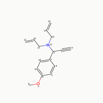 C#CC(c1ccc(OC)cc1)N(CC=C)CC=C